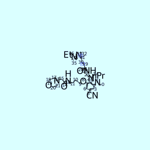 C=Nc1cc(C#N)cc(OCCCNC(=O)CN2CCOCC2)c1N(CCC)CNC(=O)/C=C/C(C)=N\N(C)CC